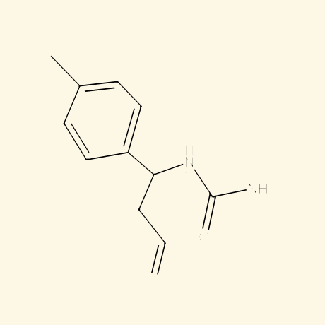 C=CCC(NC(N)=O)c1ccc(C)cc1